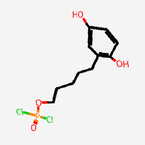 O=P(Cl)(Cl)OCCCCCc1cc(O)ccc1O